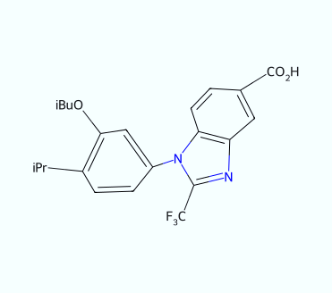 CC(C)COc1cc(-n2c(C(F)(F)F)nc3cc(C(=O)O)ccc32)ccc1C(C)C